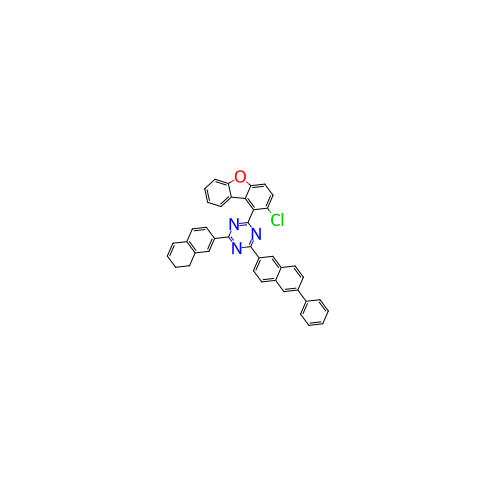 Clc1ccc2oc3ccccc3c2c1-c1nc(-c2ccc3c(c2)CCC=C3)nc(-c2ccc3cc(-c4ccccc4)ccc3c2)n1